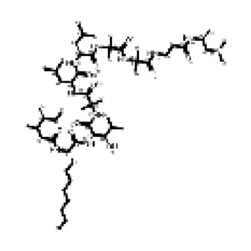 CCCCCCCC[C@H](NC(=O)CC(C)[C@@H](C)CC)C(=O)N[C@H](C(=O)NC(C)(C)C(=O)N[C@@H](CC(C)C)C(=O)N[C@@H](CC(C)C)C(=O)NC(C)(C)C(=O)NC(C)(C)C(=O)NCCC(=O)N[C@@H](C)CN(C)C)[C@H](O)C(C)C